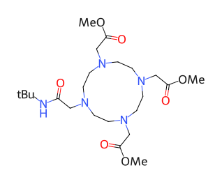 COC(=O)CN1CCN(CC(=O)NC(C)(C)C)CCN(CC(=O)OC)CCN(CC(=O)OC)CC1